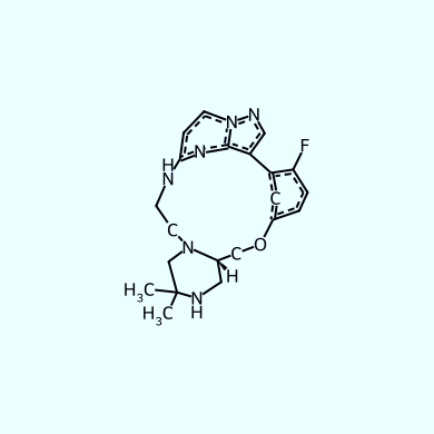 CC1(C)CN2CCNc3ccn4ncc(c4n3)-c3cc(ccc3F)OC[C@@H]2CN1